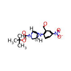 CC(C)(C)OC(=O)N1C[C@@H]2C[C@H]1CN2c1ccc([N+](=O)[O-])cc1C=O